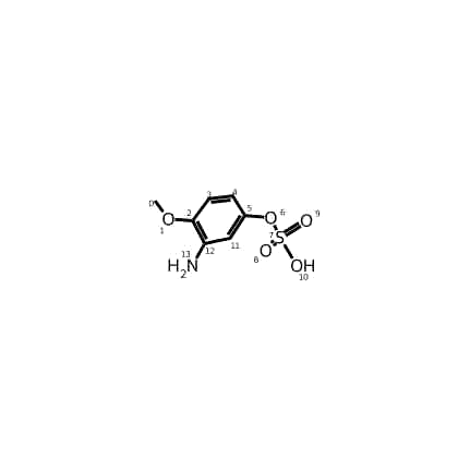 COc1ccc(OS(=O)(=O)O)cc1N